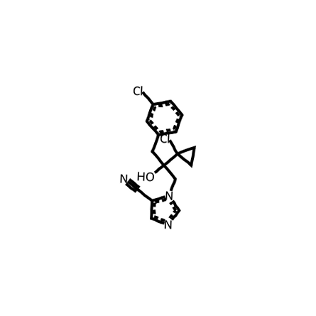 N#Cc1cncn1CC(O)(Cc1cccc(Cl)c1)C1(Cl)CC1